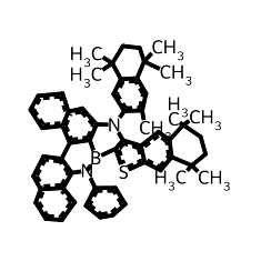 Cc1cc2c(cc1N1c3cc4ccccc4c4c3B(c3sc5cc6c(cc5c31)C(C)(C)CCC6(C)C)N(c1ccccc1)c1c-4ccc3ccccc13)C(C)(C)CCC2(C)C